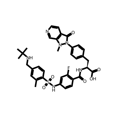 Cc1cc(CNC(C)(C)C)ccc1S(=O)(=O)Nc1ccc(C(=O)N[C@@H](Cc2ccc(-n3c(=O)c4ccncc4n3C)cc2)C(=O)O)c(F)c1